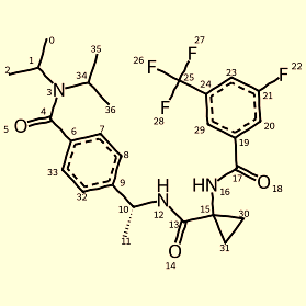 CC(C)N(C(=O)c1ccc([C@@H](C)NC(=O)C2(NC(=O)c3cc(F)cc(C(F)(F)F)c3)CC2)cc1)C(C)C